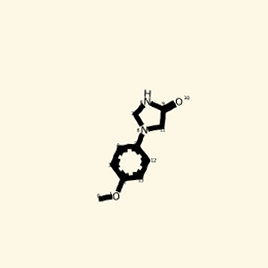 COc1ccc(N2CNC(=O)C2)cc1